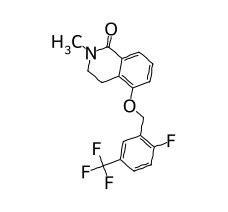 CN1CCc2c(OCc3cc(C(F)(F)F)ccc3F)cccc2C1=O